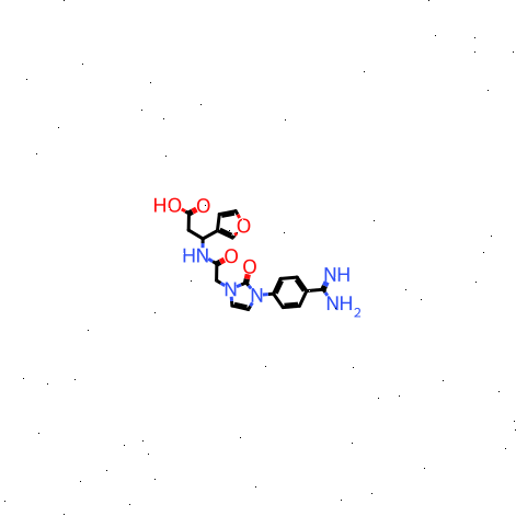 N=C(N)c1ccc(-n2ccn(CC(=O)NC(CC(=O)O)c3ccoc3)c2=O)cc1